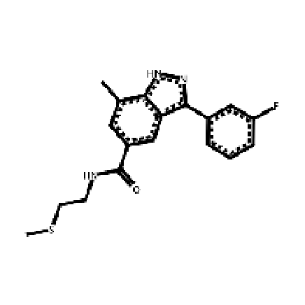 CSCCNC(=O)c1cc(C)c2[nH]nc(-c3cccc(F)c3)c2c1